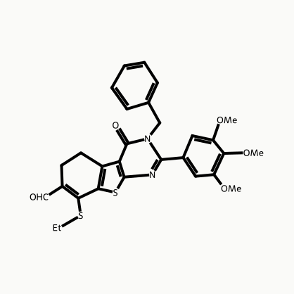 CCSC1=C(C=O)CCc2c1sc1nc(-c3cc(OC)c(OC)c(OC)c3)n(Cc3ccccc3)c(=O)c21